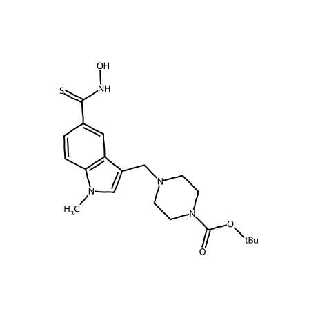 Cn1cc(CN2CCN(C(=O)OC(C)(C)C)CC2)c2cc(C(=S)NO)ccc21